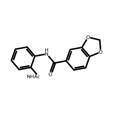 CC(=O)Nc1ccccc1NC(=O)c1ccc2c(c1)OCO2